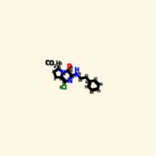 O=C(O)[C@@H]1CCc2c(Cl)nc(NCCc3ccccc3)c(=O)n21